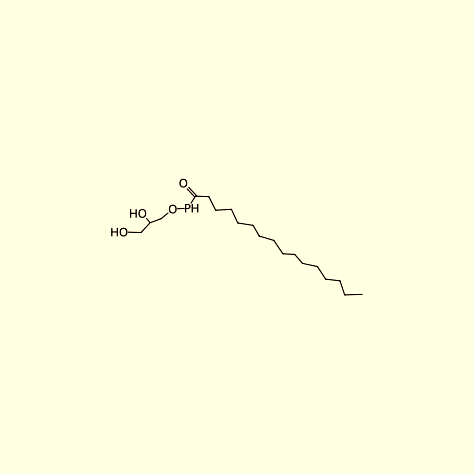 CCCCCCCCCCCCCCCC(=O)POCC(O)CO